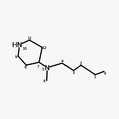 CCCCCN(C)C1CCNCC1